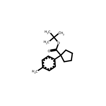 Cc1ccc(C2(C(=O)OC(C)(C)C)CCCC2)cc1